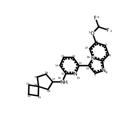 FC(F)Oc1ccc2ncc(-c3cccc(NC4CCC5(CCC5)C4)n3)n2c1